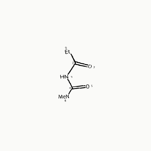 CCC(=O)NC(=O)NC